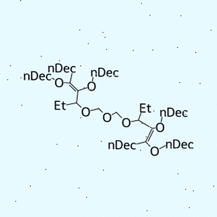 CCCCCCCCCCOC(CCCCCCCCCC)=C(OCCCCCCCCCC)C(CC)OCOCOC(CC)C(OCCCCCCCCCC)=C(CCCCCCCCCC)OCCCCCCCCCC